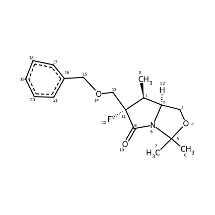 C[C@H]1[C@H]2COC(C)(C)N2C(=O)[C@@]1(F)COCc1ccccc1